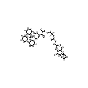 CC(OCCC(C)(C)OC(=O)CCC(=O)ON1C(=O)C2C3C=CC(C3)C2C1=O)C(=O)N1CCN(C(c2ccccc2)(c2ccccc2)c2ccccc2)CC1